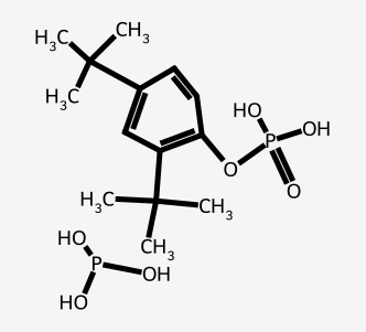 CC(C)(C)c1ccc(OP(=O)(O)O)c(C(C)(C)C)c1.OP(O)O